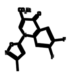 CCOC(=O)c1cn(-c2cc(C)no2)c2cc(F)c(F)cc2c1=O